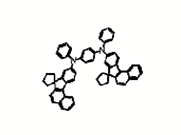 c1ccc(N(c2ccc(N(c3ccccc3)c3ccc4c(c3)C3(CCCC3)c3ccc5ccccc5c3-4)cc2)c2ccc3c(c2)C2(CCCC2)c2ccc4ccccc4c2-3)cc1